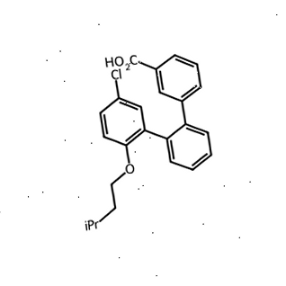 CC(C)CCOc1ccc(Cl)cc1-c1ccccc1-c1cccc(C(=O)O)c1